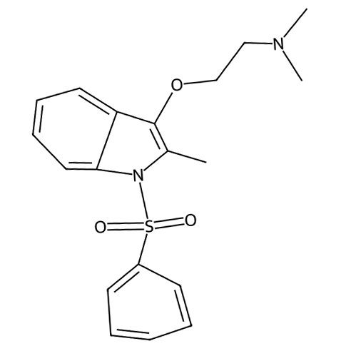 Cc1c(OCCN(C)C)c2ccccc2n1S(=O)(=O)c1ccccc1